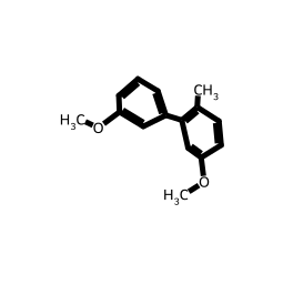 COc1cccc(-c2cc(OC)ccc2C)c1